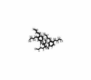 CCCCC(=Nc1ccc(CCCC)c(CCCC)c1)C(CC)=Nc1ccc(CCCC)c(CCCC)c1